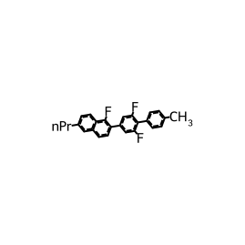 CCCc1ccc2c(F)c(-c3cc(F)c(-c4ccc(C)cc4)c(F)c3)ccc2c1